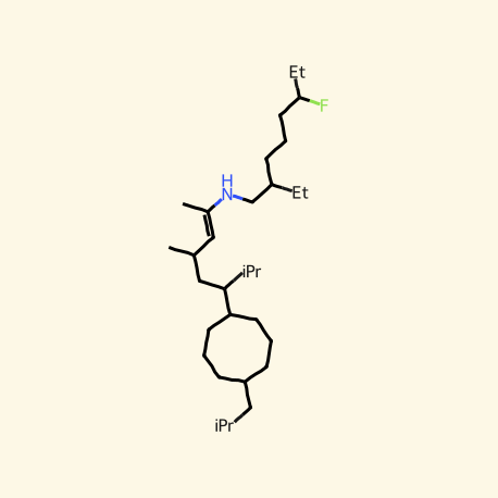 CCC(F)CCCC(CC)CN/C(C)=C/C(C)CC(C(C)C)C1CCCC(CC(C)C)CCC1